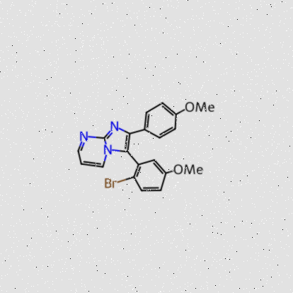 COc1ccc(-c2nc3ncccn3c2-c2cc(OC)ccc2Br)cc1